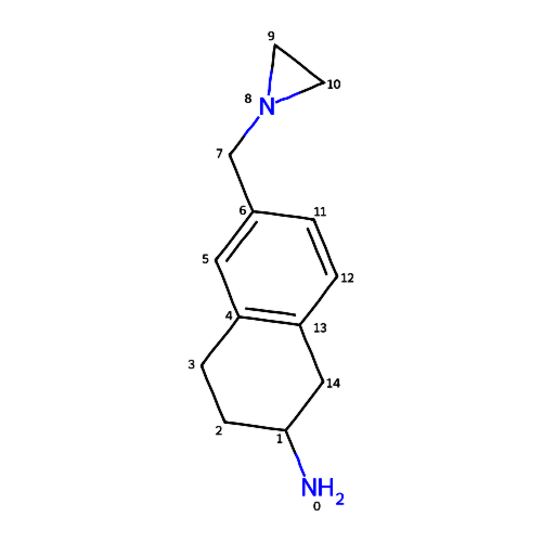 NC1CCc2cc(CN3CC3)ccc2C1